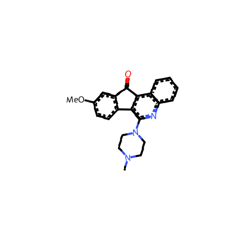 COc1ccc2c(c1)C(=O)c1c-2c(N2CCN(C)CC2)nc2ccccc12